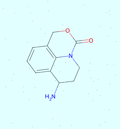 NC1CCN2C(=O)OCc3cccc1c32